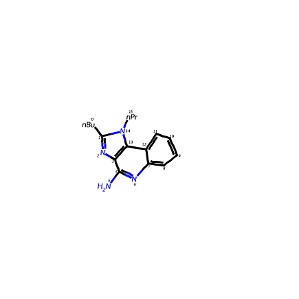 CCCCc1nc2c(N)nc3ccccc3c2n1CCC